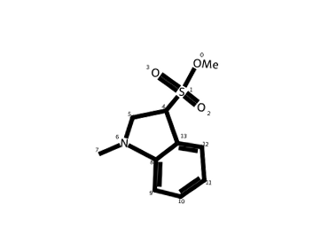 COS(=O)(=O)C1CN(C)c2ccccc21